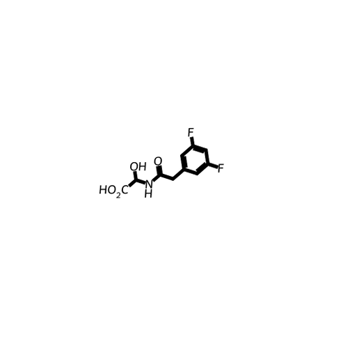 O=C(Cc1cc(F)cc(F)c1)NC(O)C(=O)O